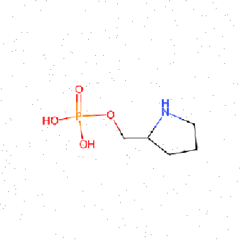 O=P(O)(O)OCC1CCCN1